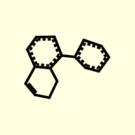 C1=Cc2cccc(-c3ccccc3)c2CC1